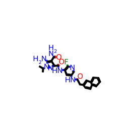 CC(C)n1nc(C(=O)Nc2cc(NC(=O)Cc3ccc4ccccc4c3)cnc2F)c(C(N)=O)c1N